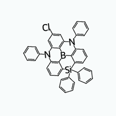 Clc1cc2c3c(c1)N(c1ccccc1)c1cccc4c1B3c1c(cccc1[Si]4(c1ccccc1)c1ccccc1)N2c1ccccc1